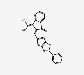 N#CC(C#N)=C1/C(=C/c2cc3sc(-c4ccccc4)nc3o2)C(=O)c2ccccc21